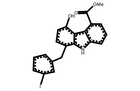 COC(=O)c1cccc2[nH]c3c(Cc4cccc(I)c4)ccc(O)c3c12